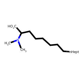 CCCCCCCCCCCCCC(C(=O)O)N(C)C